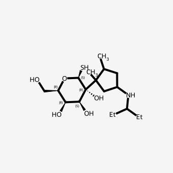 CCC(CC)NC1CC(C)C(C)([C@]2(O)[C@H](S)O[C@H](CO)[C@H](O)[C@@H]2O)C1